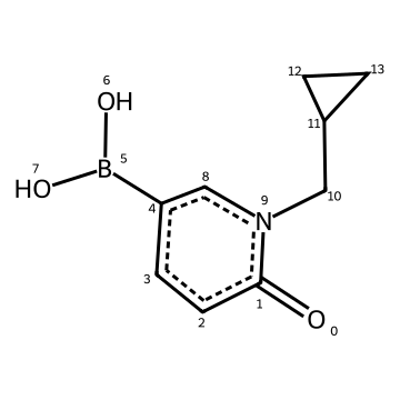 O=c1ccc(B(O)O)cn1CC1CC1